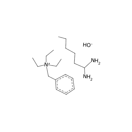 CCCCCC(N)N.CC[N+](CC)(CC)Cc1ccccc1.[OH-]